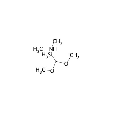 CNC.COC([SiH3])OC